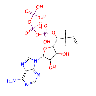 C=CC(C)(C)C(OP(=O)(O)OP(=O)(O)OP(=O)(O)O)[C@H]1O[C@@H](n2cnc3c(N)ncnc32)[C@H](O)[C@@H]1O